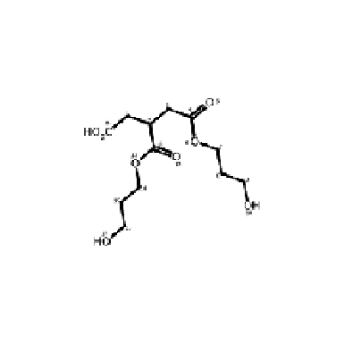 O=C(O)CC(CC(=O)OCCCO)C(=O)OCCCO